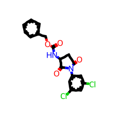 O=C(NC1CC(=O)N(c2cc(Cl)cc(Cl)c2)C1=O)OCc1ccccc1